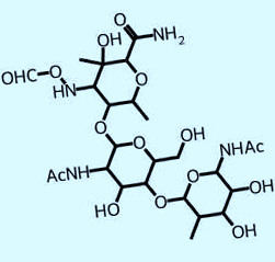 CC(=O)NC1OC(OC2C(CO)OC(OC3C(C)OC(C(N)=O)C(C)(O)C3NOC=O)C(NC(C)=O)C2O)C(C)C(O)C1O